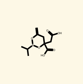 C=C1CC(CC(=O)O)(C(=O)O)OB(C(C)C)O1